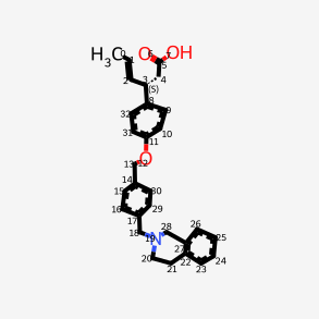 CC=C[C@H](CC(=O)O)c1ccc(OCc2ccc(CN3CCc4ccccc4C3)cc2)cc1